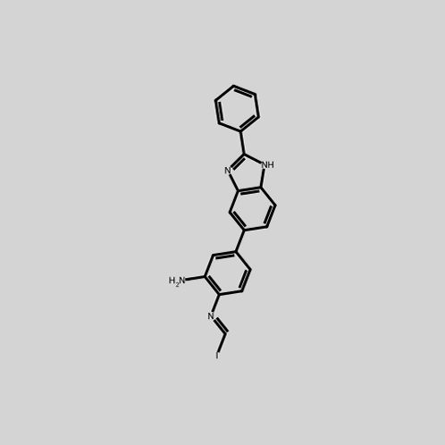 Nc1cc(-c2ccc3[nH]c(-c4ccccc4)nc3c2)ccc1/N=C/I